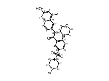 Cc1cc(O)nc2ccc(NC(=O)c3cc(S(=O)(=O)N4CCN(C)CC4)ccc3N3CCOCC3)cc12